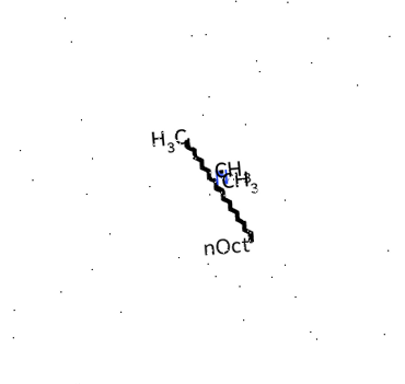 C/C=C/CCCCCCC(/C=C/CCCCCCC/C=C\CCCCCCCC)N(C)C